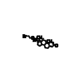 C/C(=N\OCCBr)C1CCC2C3CCC4=CC(=O)CCC4(C)C3CCC12C